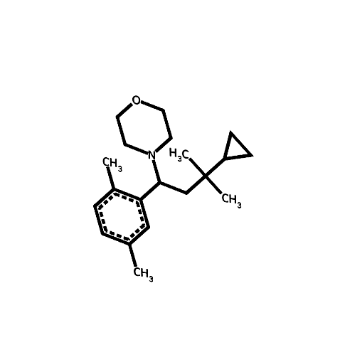 Cc1ccc(C)c(C(CC(C)(C)C2CC2)N2CCOCC2)c1